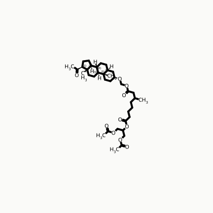 CC(=O)OCC(COC(C)=O)OC(=O)CCCCC(C)CC(=O)OCO[C@@H]1CC[C@@]2(C)[C@@H](CC[C@@H]3[C@@H]2CC[C@]2(C)[C@@H](C(C)=O)CC[C@@H]32)C1